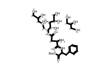 COC(=O)C(Cc1ccccc1)NC(=O)C(N)CC(=O)O[C@H](COCC(O)CO)[C@@H](O)[C@H](O)[C@H](O)CO.OCC(O)CO